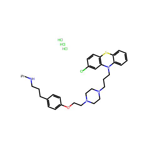 CC(C)NCCCc1ccc(OCCN2CCN(CCCN3c4ccccc4Sc4ccc(Cl)cc43)CC2)cc1.Cl.Cl.Cl